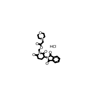 Cl.O=C(CN1CCOCC1)OCN1C(=O)CCC(N2C(=O)c3ccccc3C2=O)C1=O